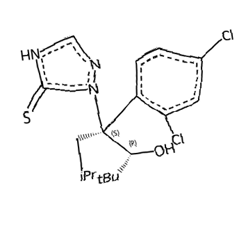 CC(C)C[C@](c1ccc(Cl)cc1Cl)([C@H](O)C(C)(C)C)n1nc[nH]c1=S